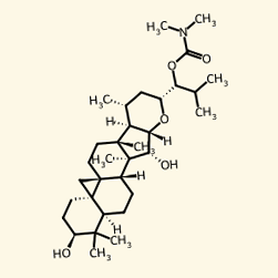 CC(C)C(OC(=O)N(C)C)[C@H]1C[C@@H](C)[C@H]2[C@H](O1)[C@H](O)[C@@]1(C)[C@@H]3CC[C@H]4C(C)(C)[C@@H](O)CC[C@@]45C[C@@]35CC[C@]21C